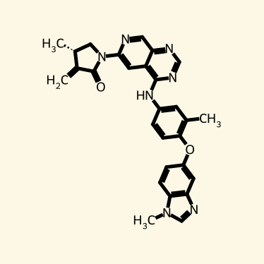 C=C1C(=O)N(c2cc3c(Nc4ccc(Oc5ccc6c(c5)ncn6C)c(C)c4)ncnc3cn2)C[C@H]1C